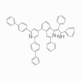 C1=C(c2ccccc2)N2NC(c3ccccc3)C(c3ccccc3)=C2c2cccc(-c3cc(-c4ccc(-c5ccccc5)cc4)nc(-c4ccc(-c5ccccc5)cc4)c3)c21